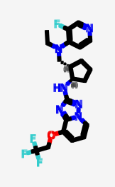 CCN(C[C@@H]1CCC[C@H]1Nc1nc2c(OCC(F)(F)F)cccn2n1)c1ccncc1F